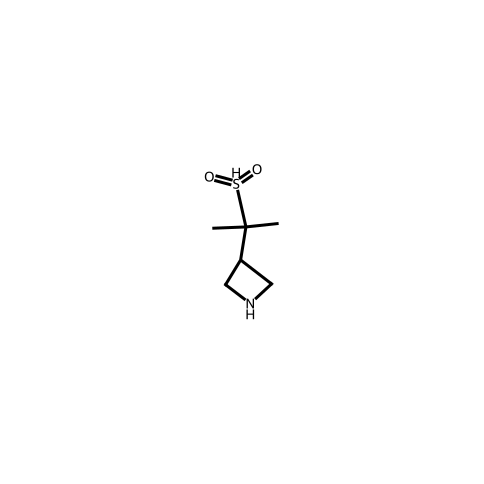 CC(C)(C1CNC1)[SH](=O)=O